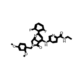 CCNC(=O)c1ccc(Nc2cc(-c3c(F)cccc3F)nc3c2C(=O)N(Cc2ccc(OC)cc2OC)C3)cn1